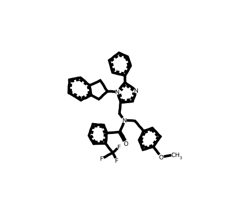 COc1ccc(CN(Cc2cnc(-c3ccccc3)n2C2Cc3ccccc3C2)C(=O)c2ccccc2C(F)(F)F)cc1